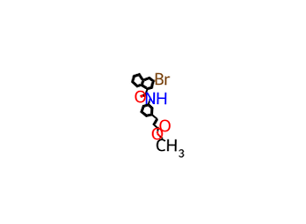 CCOC(=O)/C=C/c1cccc(NC(=O)c2cc(Br)cc3ccccc23)c1